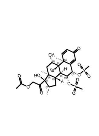 CC(=O)OCC(=O)[C@@]1(O)[C@@H](C)C[C@H]2[C@@H]3[C@@H](OS(C)(=O)=O)[C@@H](OS(C)(=O)=O)C4=CC(=O)C=C[C@]4(C)[C@@]3(Br)[C@@H](O)C[C@@]21C